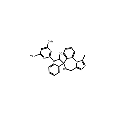 COc1cc(OC)nc(OC(C(=O)O)C2(c3ccccc3)NCc3nnc(C)n3-c3ccccc32)n1